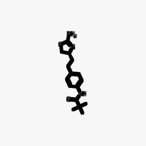 CC(C)(C)C(=O)Nc1ccc(CC[C@H]2COC(N)=N2)cc1